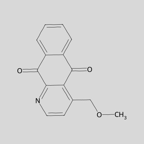 COCc1ccnc2c1C(=O)c1ccccc1C2=O